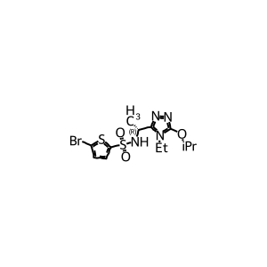 CCn1c(OC(C)C)nnc1[C@@H](C)NS(=O)(=O)c1ccc(Br)s1